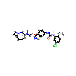 Cc1ccc(Cl)cc1NC(=O)Nc1ccc2c(OCN[C@@H]3CCCC4CCN4C3)nsc2c1